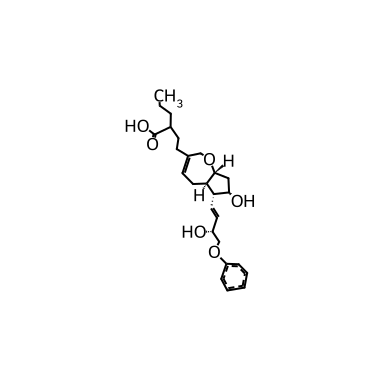 CCCC(CCC1=CC[C@@H]2[C@@H](/C=C/[C@@H](O)COc3ccccc3)[C@H](O)C[C@H]2OC1)C(=O)O